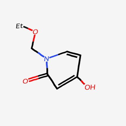 CCOCn1ccc(O)cc1=O